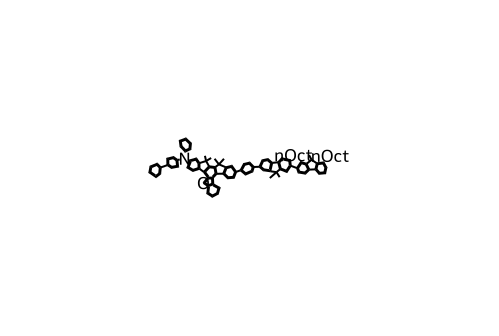 CCCCCCCCC1(CCCCCCCC)c2ccccc2-c2ccc(-c3ccc4c(c3)C(C)(C)c3cc(-c5ccc(-c6ccc7c(c6)C(C)(C)c6c8c(c9oc%10ccccc%10c9c6-7)-c6ccc(N(c7ccccc7)c7ccc(-c9ccccc9)cc7)cc6C8(C)C)cc5)ccc3-4)cc21